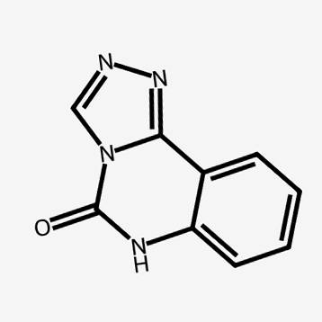 O=c1[nH]c2ccccc2c2nncn12